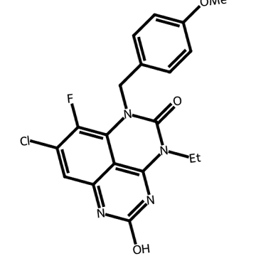 CCN1C(=O)N(Cc2ccc(OC)cc2)c2c(F)c(Cl)cc3nc(O)nc1c23